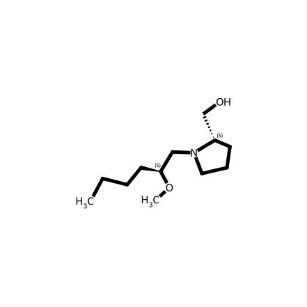 CCCC[C@@H](CN1CCC[C@H]1CO)OC